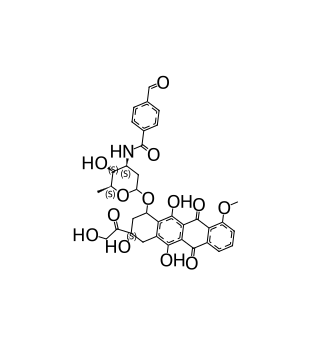 COc1cccc2c1C(=O)c1c(O)c3c(c(O)c1C2=O)C[C@@](O)(C(=O)CO)CC3OC1C[C@H](NC(=O)c2ccc(C=O)cc2)[C@H](O)[C@H](C)O1